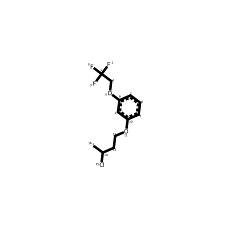 FC(F)(F)COc1cccc(OCCC(Cl)I)c1